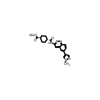 COC(=O)[C@H]1CC[C@H](C(=O)Nc2cc3cc(-c4cnn(C)c4)ccc3nn2)CC1